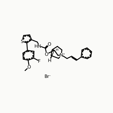 COc1ccc(-c2sccc2CNC(=O)O[C@H]2C[N+]3(CC=Cc4ccccc4)CCC2CC3)cc1F.[Br-]